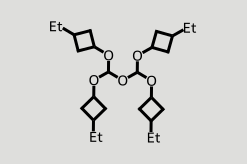 CCC1CC(OC(OC2CC(CC)C2)OC(OC2CC(CC)C2)OC2CC(CC)C2)C1